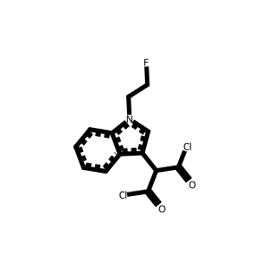 O=C(Cl)C(C(=O)Cl)c1cn(CCF)c2ccccc12